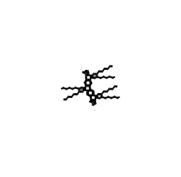 CCCCCCCCC1(CCCCCCCC)c2cc3c(cc2-c2cc4c(cc21)-c1sc(Br)cc1C4(CCCCCCCC)CCCCCCCC)C(CCCCCCCC)(CCCCCCCC)c1cc(Br)sc1-3